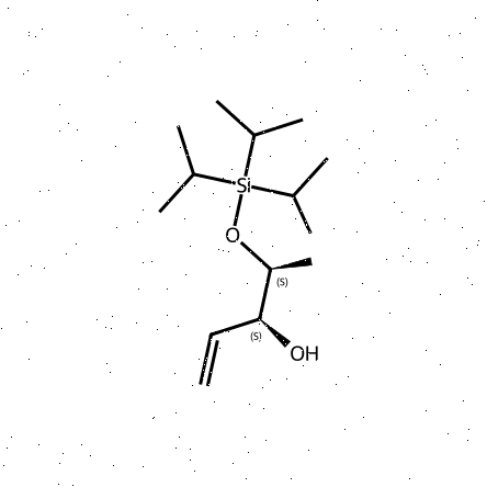 C=C[C@H](O)[C@H](C)O[Si](C(C)C)(C(C)C)C(C)C